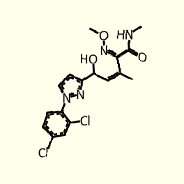 CNC(=O)C(=NOC)C(C)=CC(O)c1ccn(-c2ccc(Cl)cc2Cl)n1